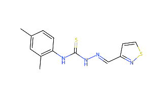 Cc1ccc(NC(=S)NN=Cc2ccsn2)c(C)c1